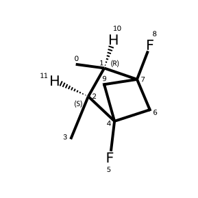 C[C@@H]1[C@H](C)C2(F)CC1(F)C2